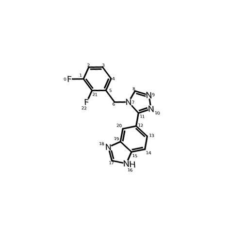 Fc1cccc(Cn2cnnc2-c2ccc3[nH]cnc3c2)c1F